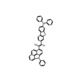 [2H]/C(=C(/[2H])c1ccc2c3c1ccc1cccc(c13)n2-c1ccccc1)c1ccc2c(c1)sc1cc(N(c3ccccc3)c3ccccc3)ccc12